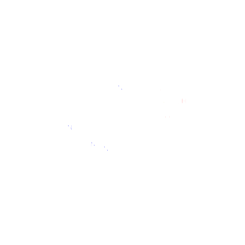 O=S(=O)(O)c1ccc2c(-c3c(-c4ccccn4)nn4c3CCC4)ccnc2c1